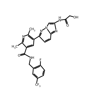 Cc1nc(C)c(-c2ccc3nc(NC(=O)CO)cn3n2)cc1C(=O)NCc1cc(C(F)(F)F)ccc1F